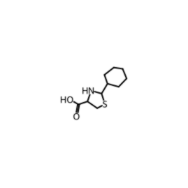 O=C(O)C1CSC(C2CCCCC2)N1